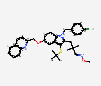 CO/N=C/C(C)(C)Cc1c(SC(C)(C)C)c2cc(OCc3ccc4ccccc4n3)ccc2n1Cc1ccc(Cl)cc1